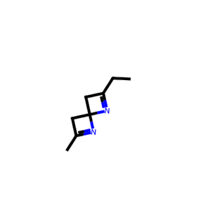 CCC1=NC2(CC(C)=N2)C1